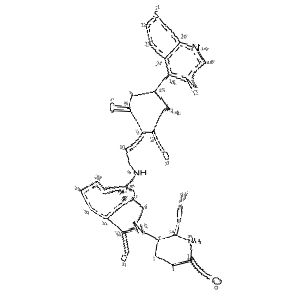 O=C1CCC(N2Cc3c(NC=C4C(=O)CC(c5ncnc6sccc56)CC4=O)cccc3C2=O)C(=O)N1